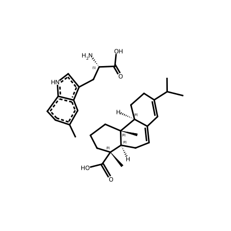 CC(C)C1=CC2=CC[C@@H]3[C@](C)(CCC[C@@]3(C)C(=O)O)[C@H]2CC1.Cc1ccc2[nH]cc(C[C@H](N)C(=O)O)c2c1